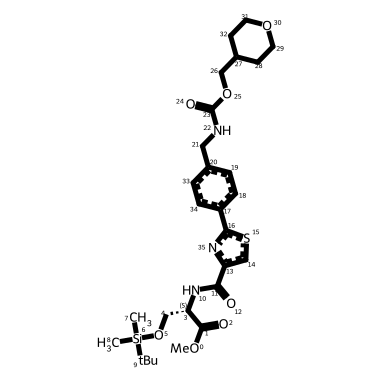 COC(=O)[C@H](CO[Si](C)(C)C(C)(C)C)NC(=O)c1csc(-c2ccc(CNC(=O)OCC3CCOCC3)cc2)n1